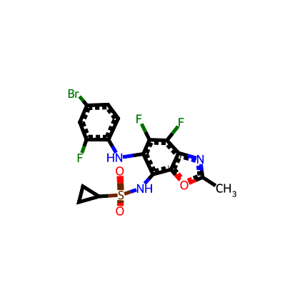 Cc1nc2c(F)c(F)c(Nc3ccc(Br)cc3F)c(NS(=O)(=O)C3CC3)c2o1